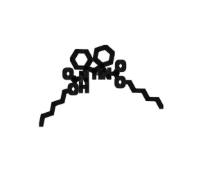 CCCCCCOC(=O)NC1(CC2(NC(=O)OCCCCCC)CCCCC2)CCCCC1